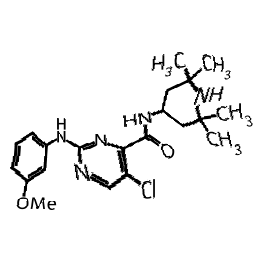 COc1cccc(Nc2ncc(Cl)c(C(=O)NC3CC(C)(C)NC(C)(C)C3)n2)c1